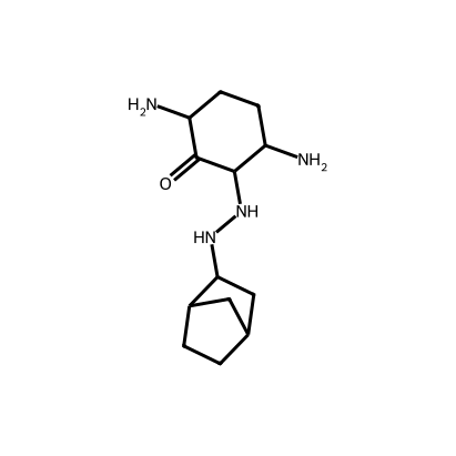 NC1CCC(N)C(NNC2CC3CCC2C3)C1=O